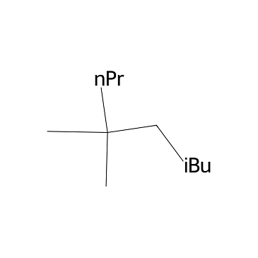 CCCC(C)(C)CC(C)CC